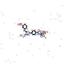 Cn1nc(-c2ccc(C(=O)NC(C)(C)CO)cc2)sc1=N[C@@H]1CCC[C@@H](O)C1